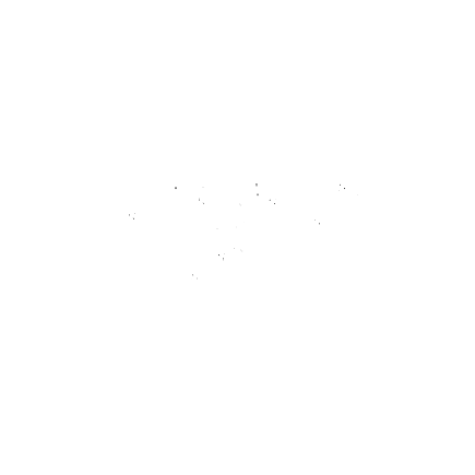 CBN(CC(O)CON)C1C(I)=C(C(=O)NCC(CON)ON)C(I)=C(C(=O)NCC(C)N=O)[C@@H]1I